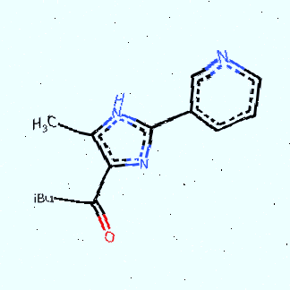 CCC(C)C(=O)c1nc(-c2cccnc2)[nH]c1C